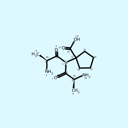 C[C@H](N)C(=O)N(C(=O)[C@H](C)N)C1(C(=O)O)CCCC1